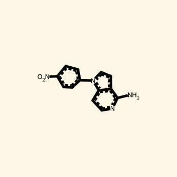 Nc1nccc2c1ccn2-c1ccc([N+](=O)[O-])cc1